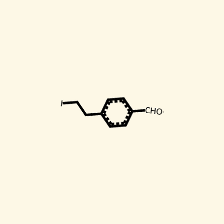 O=[C]c1ccc(CCI)cc1